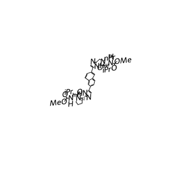 CCCN(Cc1ncc(-c2ccc3cc(-c4cnc([C@@H]5CCCN5C(=O)[C@@H](NC(=O)OC)C(C)C)[nH]4)ccc3c2)[nH]1)C(=O)[C@@H](NC(=O)OC)C(C)C